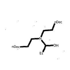 CCCCCCCCCCCCN(CCCCCCCCCCCC)C(O)CC